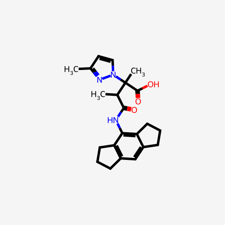 Cc1ccn(C(C)(C(=O)O)C(C)C(=O)Nc2c3c(cc4c2CCC4)CCC3)n1